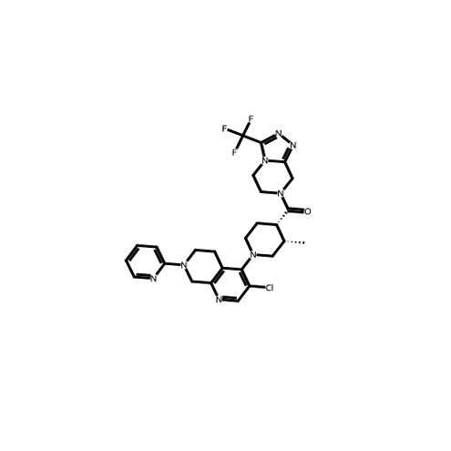 C[C@@H]1CN(c2c(Cl)cnc3c2CCN(c2ccccn2)C3)CC[C@@H]1C(=O)N1CCn2c(nnc2C(F)(F)F)C1